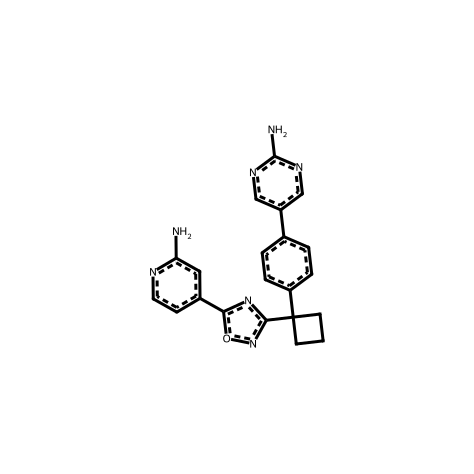 Nc1cc(-c2nc(C3(c4ccc(-c5cnc(N)nc5)cc4)CCC3)no2)ccn1